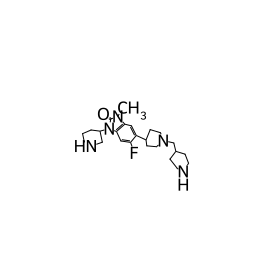 Cn1c(=O)n(C2CCCNC2)c2cc(F)c(C3CCN(CC4CCNCC4)CC3)cc21